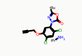 C#CCOc1cc(-n2nc(C(C)(C)C)oc2=O)c(Cl)cc1Cl.CC(C)N